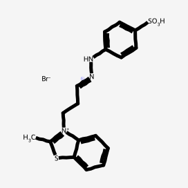 Cc1sc2ccccc2[n+]1CC/C=N/Nc1ccc(S(=O)(=O)O)cc1.[Br-]